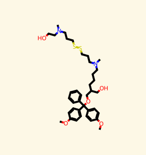 COc1ccc(C(OCC(CO)CCCCN(C)CCCSSCCCN(C)CCO)(c2ccccc2)c2ccc(OC)cc2)cc1